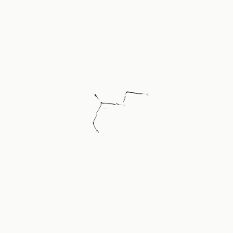 NCN[C@@H](CC(=O)O)C(=O)O